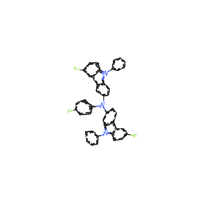 Fc1ccc(N(c2ccc3c(c2)c2cc(F)ccc2n3-c2ccccc2)c2ccc3c4cc(F)ccc4n(-c4ccccc4)c3c2)cc1